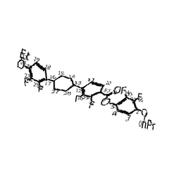 CCCOc1ccc(OC(=O)c2ccc(C3CCC(c4ccc(OCC)c(F)c4F)CC3)c(F)c2F)c(F)c1F